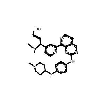 CN1CCC(Nc2ccc(Nc3ncc4ccnc(-c5cc(C(/C=C/C=O)N(C)C)ccn5)c4n3)cc2)CC1